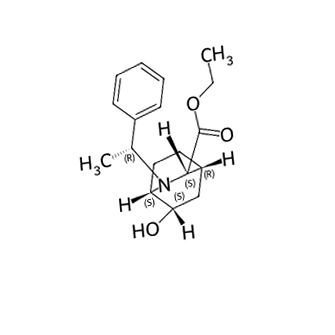 CCOC(=O)[C@@H]1[C@@H]2CC[C@@H]([C@@H](O)C2)N1[C@H](C)c1ccccc1